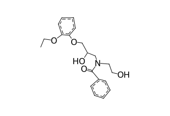 CCOc1ccccc1OCC(O)CN(CCO)C(=O)c1ccccc1